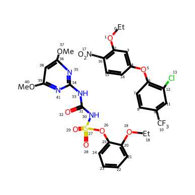 CCOc1cc(Oc2ccc(C(F)(F)F)cc2Cl)ccc1[N+](=O)[O-].CCOc1ccccc1OS(=O)(=O)NC(=O)Nc1nc(OC)cc(OC)n1